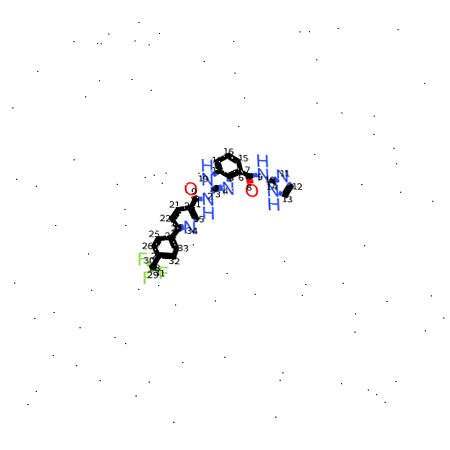 O=C(Nc1nc2c(C(=O)Nc3ncc[nH]3)cccc2[nH]1)c1ccc(-c2ccc(C(F)(F)F)cc2)nc1